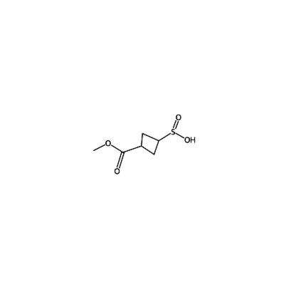 COC(=O)C1CC(S(=O)O)C1